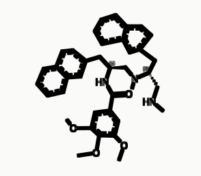 CNC[C@@H](Cc1ccc2ccccc2c1)N(C)C[C@H](Cc1ccc2ccccc2c1)NC(=O)c1cc(OC)c(OC)c(OC)c1